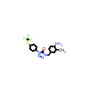 Cc1cc(Cn2nnn(-c3ccc(SC(F)(F)F)cc3)c2=O)ccc1N